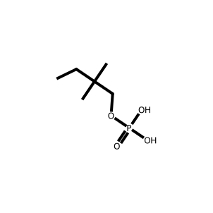 CCC(C)(C)COP(=O)(O)O